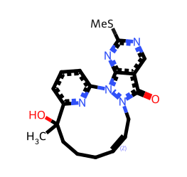 CSc1ncc2c(=O)n3n(c2n1)-c1cccc(n1)C(C)(O)CCC/C=C\C3